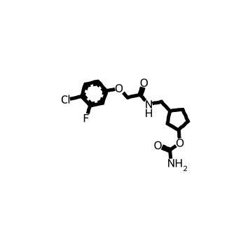 NC(=O)OC1CCC(CNC(=O)COc2ccc(Cl)c(F)c2)C1